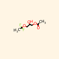 CC(=O)OCC(O)COC(C)(F)F